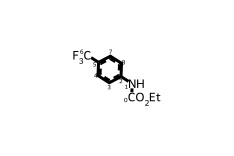 CCOC(=O)Nc1ccc(C(F)(F)F)cc1